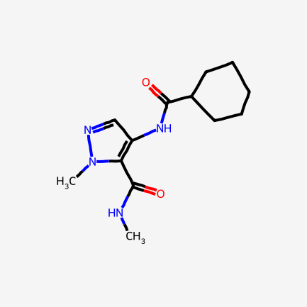 CNC(=O)c1c(NC(=O)C2CCCCC2)cnn1C